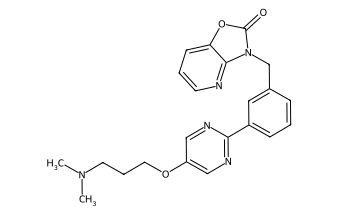 CN(C)CCCOc1cnc(-c2cccc(Cn3c(=O)oc4cccnc43)c2)nc1